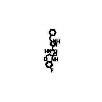 O=C(N[C@H]1COc2ccc(F)cc2NC1=O)c1cc(Cc2ccccc2)[nH]n1